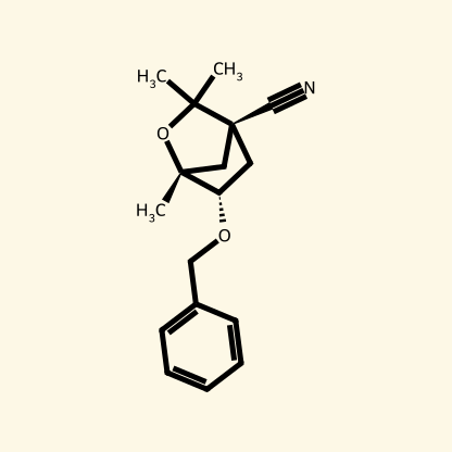 CC1(C)O[C@]2(C)C[C@@]1(C#N)C[C@@H]2OCc1ccccc1